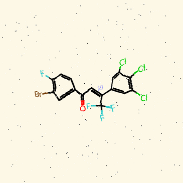 O=C(/C=C(/c1cc(Cl)c(Cl)c(Cl)c1)C(F)(F)F)c1ccc(F)c(Br)c1